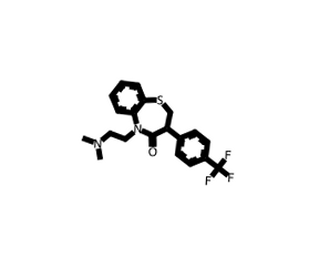 CN(C)CCN1C(=O)C(c2ccc(C(F)(F)F)cc2)CSc2ccccc21